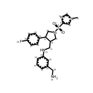 Cn1cnc(S(=O)(=O)N2CC(CNc3cccc(CN)c3)C(c3ccc(F)cc3)C2)c1